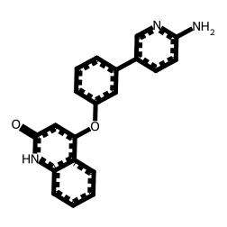 Nc1ccc(-c2cccc(Oc3cc(=O)[nH]c4ccccc34)c2)cn1